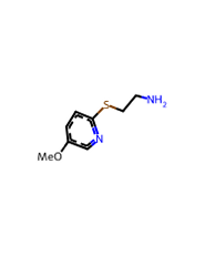 COc1ccc(SCCN)nc1